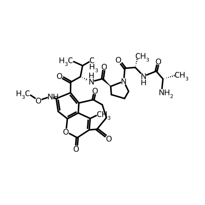 CONc1cc2oc(=O)c3c(C)c2c(c1C(=O)[C@@H](NC(=O)[C@@H]1CCCN1C(=O)[C@H](C)NC(=O)[C@H](C)N)C(C)C)C(=O)CCC3=O